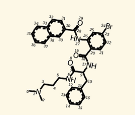 CN(C)CCCNC(=O)C(Cc1ccccc1)NC(=O)c1ccc(Br)cc1NC(=O)c1ccc2ccccc2c1